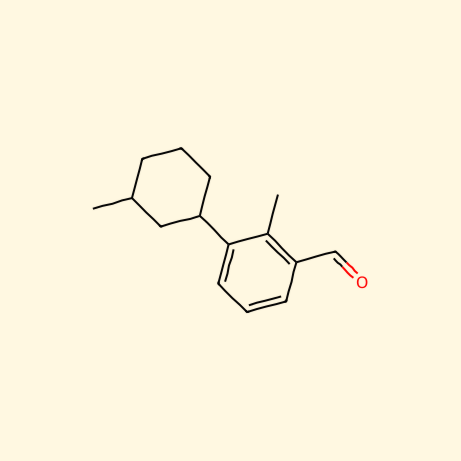 Cc1c(C=O)cccc1C1CCCC(C)C1